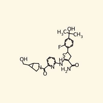 CC(C)(O)c1ccc(C2CC(C(N)=O)=C(Nc3cccc(C(=O)N4CC5C(CO)C5C4)n3)S2)c(F)c1